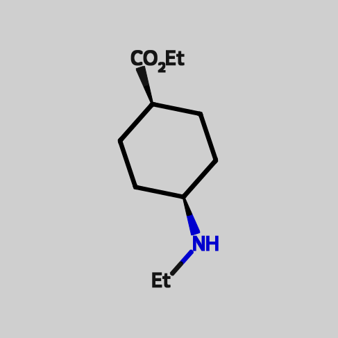 CCN[C@H]1CC[C@@H](C(=O)OCC)CC1